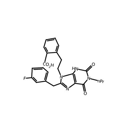 CCCn1c(=O)[nH]c2c(nc(Cc3cccc(F)c3)n2CCc2ccccc2C(=O)O)c1=O